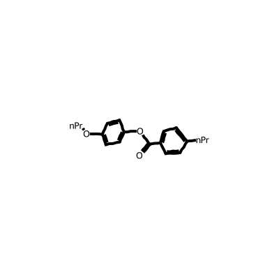 CCCOc1ccc(OC(=O)c2ccc(CCC)cc2)cc1